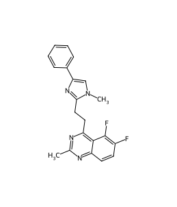 Cc1nc(CCc2nc(-c3ccccc3)cn2C)c2c(F)c(F)ccc2n1